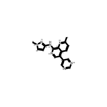 Cc1ccc2c(-c3cncnc3)cnc(Nc3ccn(C)n3)c2n1